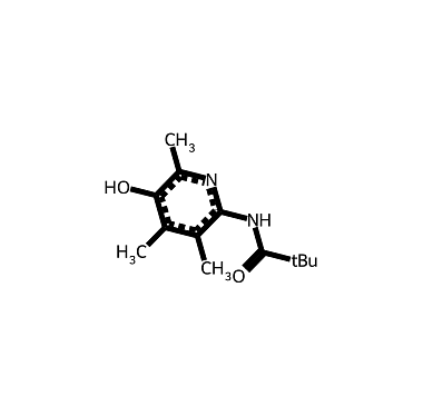 Cc1nc(NC(=O)C(C)(C)C)c(C)c(C)c1O